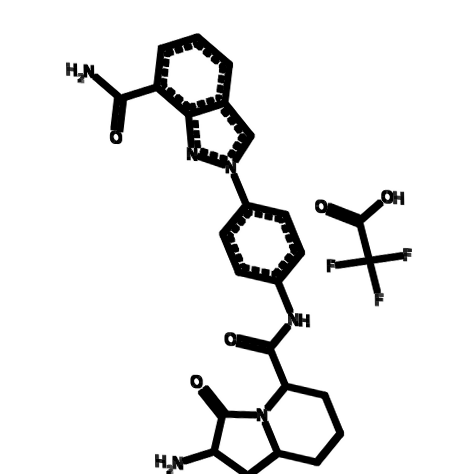 NC(=O)c1cccc2cn(-c3ccc(NC(=O)C4CCCC5CC(N)C(=O)N54)cc3)nc12.O=C(O)C(F)(F)F